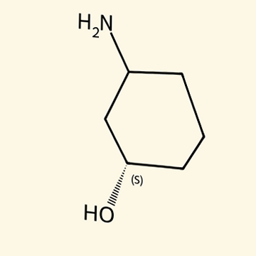 NC1CCC[C@H](O)C1